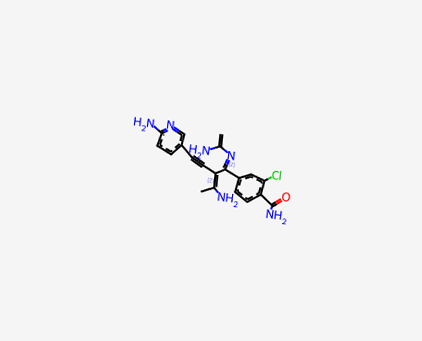 C=C(N)/N=C(\C(C#Cc1ccc(N)nc1)=C(\C)N)c1ccc(C(N)=O)c(Cl)c1